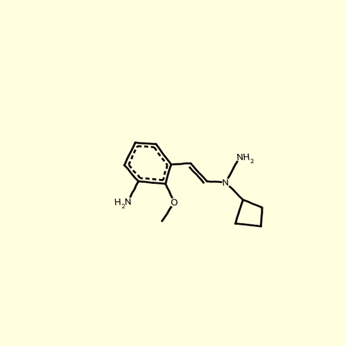 COc1c(N)cccc1/C=C/N(N)C1CCC1